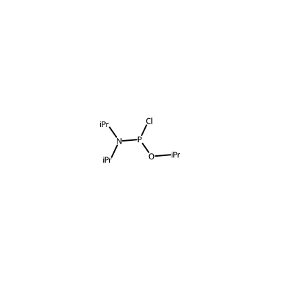 CC(C)OP(Cl)N(C(C)C)C(C)C